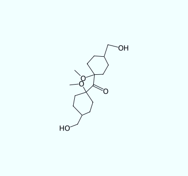 COC1(C(=O)C2(OC)CCC(CO)CC2)CCC(CO)CC1